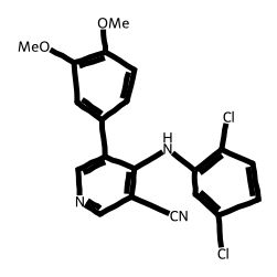 COc1ccc(-c2cncc(C#N)c2Nc2cc(Cl)ccc2Cl)cc1OC